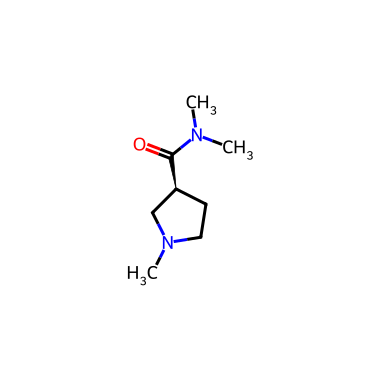 CN1CC[C@H](C(=O)N(C)C)C1